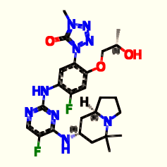 C[C@H](O)COc1cc(F)c(Nc2ncc(F)c(N[C@@H]3C[C@H]4CCCN4C(C)(C)C3)n2)cc1-n1nnn(C)c1=O